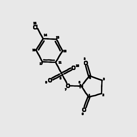 O=C1CCC(=O)N1OS(=O)(=O)c1ccc(Cl)cc1